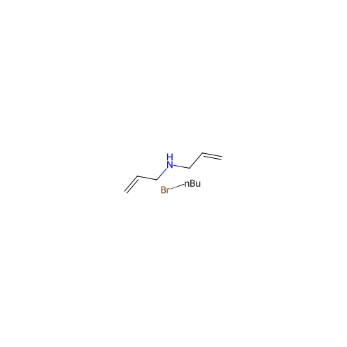 C=CCNCC=C.CCCCBr